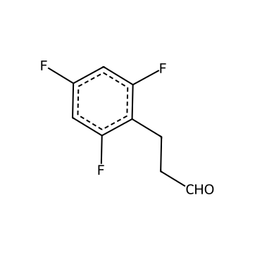 O=CCCc1c(F)cc(F)cc1F